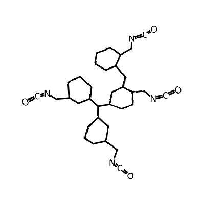 O=C=NCC1CCCC(C(C2CCCC(CN=C=O)C2)C2CCC(CN=C=O)C(CC3CCCCC3CN=C=O)C2)C1